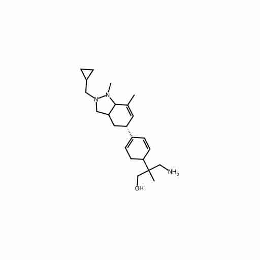 CC1=C[C@H](C2=CCC(C(C)(CN)CO)C=C2)CC2CN(CC3CC3)N(C)C12